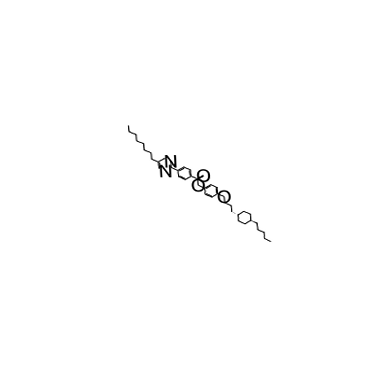 CCCCCCCCc1cnc(-c2ccc(C(=O)Oc3ccc(OCCC[C@H]4CC[C@H](CCCCC)CC4)cc3)cc2)nc1